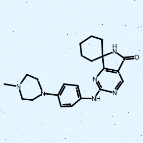 CN1CCN(c2ccc(Nc3ncc4c(n3)C3(CCCCC3)NC4=O)cc2)CC1